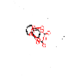 O=c1oc(=O)oc2ccc(o1)c1c3ccc(oc(=O)oc(=O)o3)c21